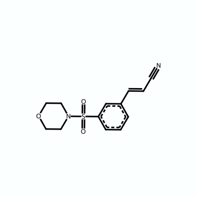 N#C/C=C/c1cccc(S(=O)(=O)N2CCOCC2)c1